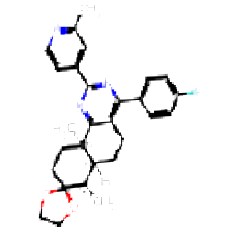 Cc1cc(-c2nc(-c3ccc(F)cc3)c3c(n2)[C@]2(C)CCC4(OCCO4)[C@H](C)[C@H]2CC3)ccn1